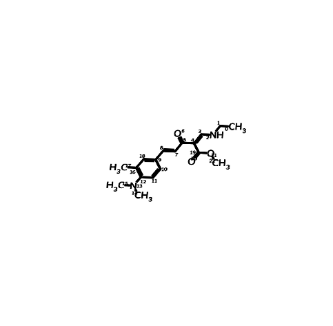 CCNC=C(C(=O)C=Cc1ccc(N(C)C)c(C)c1)C(=O)OC